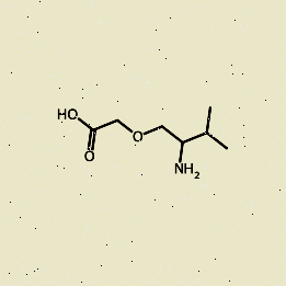 CC(C)C(N)COCC(=O)O